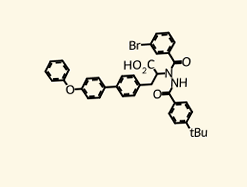 CC(C)(C)c1ccc(C(=O)NN(C(=O)c2cccc(Br)c2)C(Cc2ccc(-c3ccc(Oc4ccccc4)cc3)cc2)C(=O)O)cc1